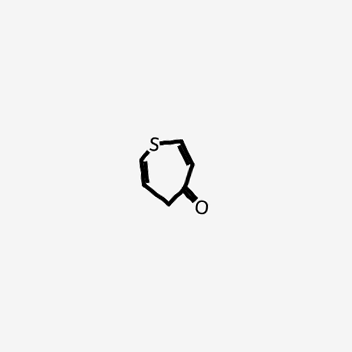 O=C1C=CSC=CC1